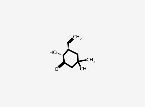 C=C[C@H]1CC(C)(C)CC(=O)[C@@H]1O